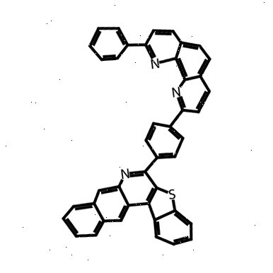 c1ccc(-c2ccc3ccc4ccc(-c5ccc(-c6nc7cc8ccccc8cc7c7c6sc6ccccc67)cc5)nc4c3n2)cc1